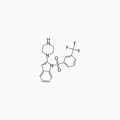 O=S(=O)(c1cccc(C(F)(F)F)c1)n1c(N2CCNCC2)cc2ccccc21